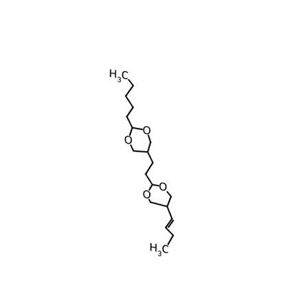 CCC=CC1COC(CCC2COC(CCCCC)OC2)OC1